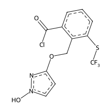 O=C(Cl)c1cccc(SC(F)(F)F)c1COc1ccn(O)n1